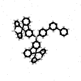 c1ccc(-c2cccc(-c3ccc(N(c4ccc5c(c4)-c4ccccc4C54c5ccccc5Sc5ccccc54)c4ccc5c(c4)-c4ccccc4C54c5ccccc5Sc5ccccc54)cc3)c2)cc1